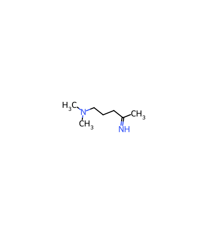 CC(=N)CCCN(C)C